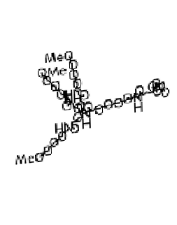 COCCOCCOCCOCCNC(=O)CCOCC(COCCC(=O)NCCOCCOCCOCCOC)(COCCC(=O)NCCOCCOCCOCCOC)NC(=O)CCOCCOCCOCCOCCNC(=O)CCCC(=O)ON1C(=O)CCC1=O